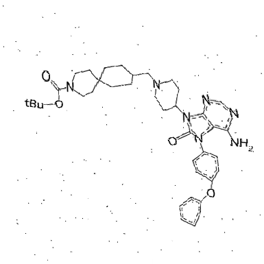 CC(C)(C)OC(=O)N1CCC2(CCC(CN3CCC(n4c(=O)n(-c5ccc(Oc6ccccc6)cc5)c5c(N)ncnc54)CC3)CC2)CC1